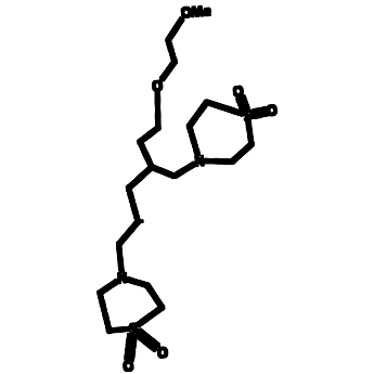 COCCOCCC(C[CH]CN1CCS(=O)(=O)CC1)CN1CCS(=O)(=O)CC1